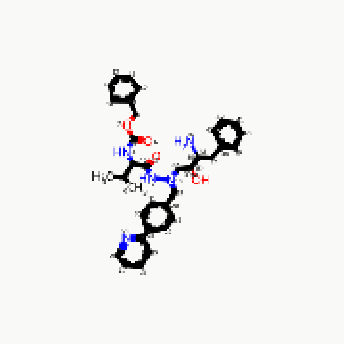 CC(C)C(NC(=O)OCc1ccccc1)C(=O)NN(Cc1ccc(-c2ccccn2)cc1)C[C@H](O)[C@@H](N)Cc1ccccc1